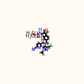 CC(C)(C)OC(=O)Nc1nc2cc(CN(C(=O)c3ccc(C#N)nc3)c3cn(C4CC4)nc3C(F)(F)F)ccc2c2c1COC2